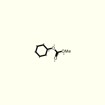 COC(=O)OC1CC[CH]CC1